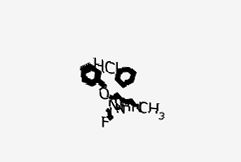 C1CCCCC1.CNCc1cc(OCc2ccccc2)n(CCF)n1.Cl